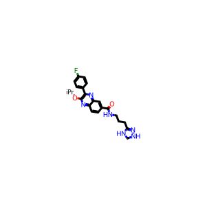 CC(C)Oc1nc2ccc(C(=O)NCCCC3=NNCN3)cc2nc1-c1ccc(F)cc1